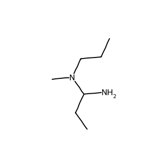 CCCN(C)C(N)CC